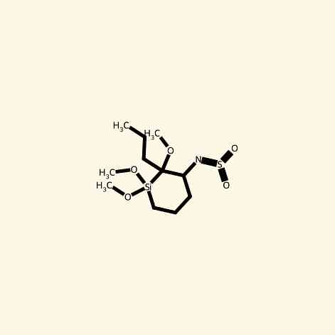 CCCC1(OC)C(N=S(=O)=O)CCC[Si]1(OC)OC